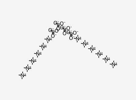 C[N+](C)(C)C.C[N+](C)(C)C.C[N+](C)(C)C.C[N+](C)(C)C.C[N+](C)(C)C.C[N+](C)(C)C.C[N+](C)(C)C.C[N+](C)(C)C.C[N+](C)(C)C.C[N+](C)(C)C.C[N+](C)(C)C.C[N+](C)(C)C.[O-]B([O-])[O-].[O-]B([O-])[O-].[O-]B([O-])[O-].[O-]B([O-])[O-]